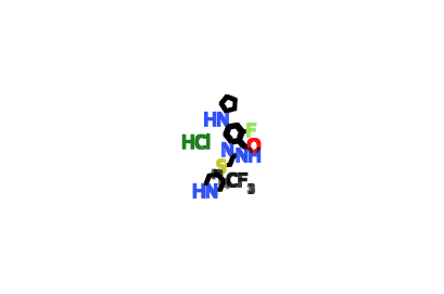 Cl.O=c1[nH]c(CS[C@@H]2CCNC[C@H]2C(F)(F)F)nc2cc(NC3CCCC3)cc(F)c12